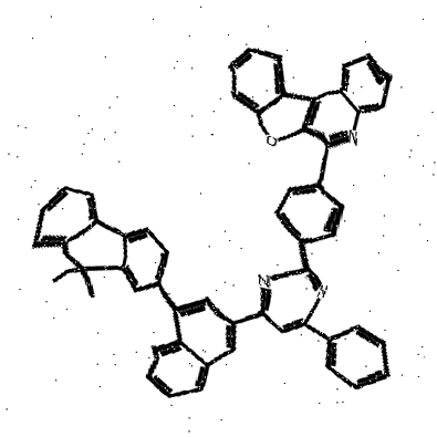 CC1(C)c2ccccc2-c2ccc(-c3cc(-c4cc(-c5ccccc5)nc(-c5ccc(-c6nc7ccccc7c7c6oc6ccccc67)cc5)n4)cc4ccccc34)cc21